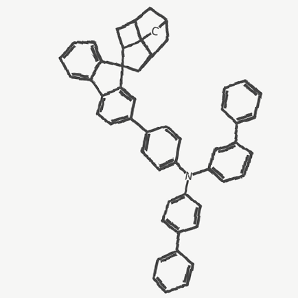 c1ccc(-c2ccc(N(c3ccc(-c4ccc5c(c4)C4(c6ccccc6-5)C5CC6CC7CC4C7(C6)C5)cc3)c3cccc(-c4ccccc4)c3)cc2)cc1